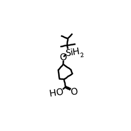 CC(C)C(C)(C)[SiH2]OC1CCC(C(=O)O)CC1